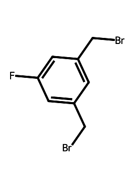 Fc1cc(CBr)cc(CBr)c1